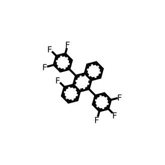 Fc1cc(-c2c3ccccc3c(-c3cc(F)c(F)c(F)c3)c3c(F)cccc23)cc(F)c1F